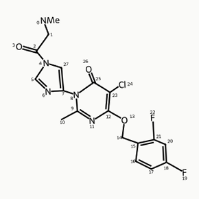 CNCC(=O)n1cnc(-n2c(C)nc(OCc3ccc(F)cc3F)c(Cl)c2=O)c1